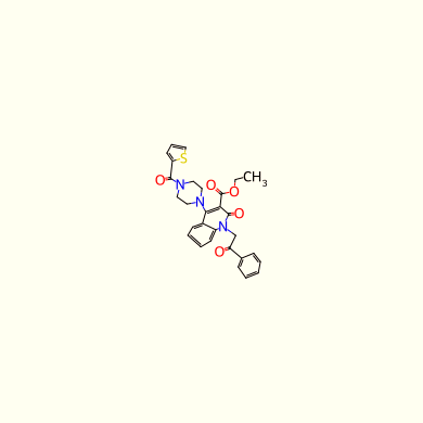 CCOC(=O)c1c(N2CCN(C(=O)c3cccs3)CC2)c2ccccc2n(CC(=O)c2ccccc2)c1=O